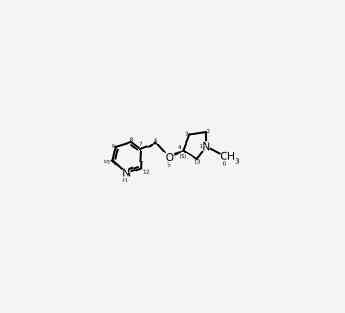 CN1CC[C@H](OCc2cccnc2)C1